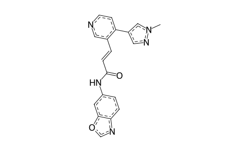 Cn1cc(-c2ccncc2C=CC(=O)Nc2ccc3ncoc3c2)cn1